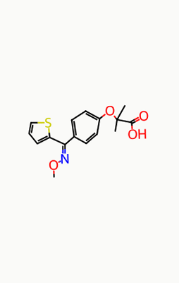 CON=C(c1ccc(OC(C)(C)C(=O)O)cc1)c1cccs1